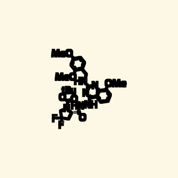 COc1ccc(CNc2nc(NNC(=O)[C@@H]3CC(F)(F)CN3C(=O)OC(C)(C)C)c3cccc(OC)c3n2)c(OC)c1